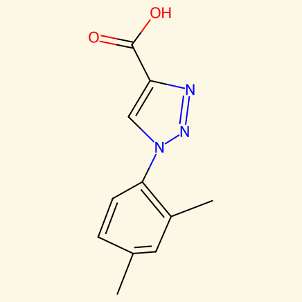 Cc1ccc(-n2cc(C(=O)O)nn2)c(C)c1